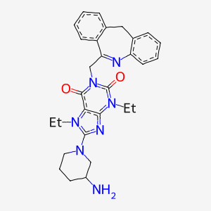 CCn1c(N2CCCC(N)C2)nc2c1c(=O)n(CC1=Nc3ccccc3Cc3ccccc31)c(=O)n2CC